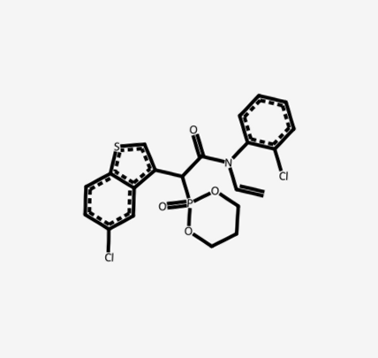 C=CN(C(=O)C(c1csc2ccc(Cl)cc12)P1(=O)OCCCO1)c1ccccc1Cl